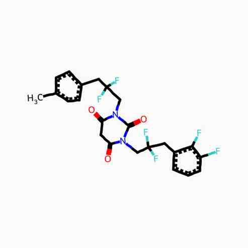 Cc1ccc(CC(F)(F)CN2C(=O)CC(=O)N(CC(F)(F)Cc3cccc(F)c3F)C2=O)cc1